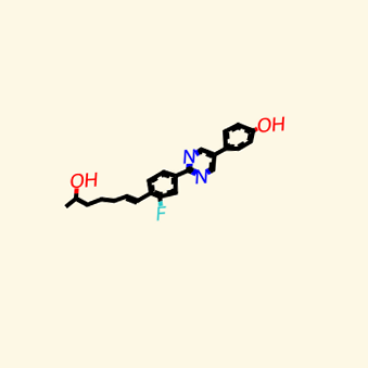 CC(O)CCCC=Cc1ccc(-c2ncc(-c3ccc(O)cc3)cn2)cc1F